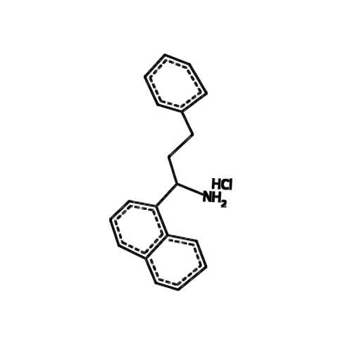 Cl.NC(CCc1ccccc1)c1cccc2ccccc12